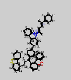 C/C(=C\C=C(/C)N1c2ccccc2C2CC(C3=CC=C(C(CCC4=CC=CC5SC6=C(CCC=C6)C45)C4=C5c6ccccc6OC5C=C=C4)CC3)C=CC21)C1=CC=CCC1